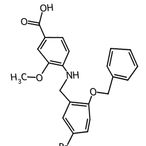 COc1cc(C(=O)O)ccc1NCc1cc(Br)ccc1OCc1ccccc1